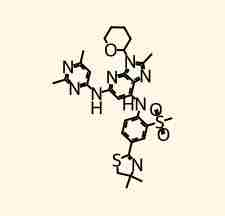 Cc1cc(Nc2cc(Nc3ccc(C4=NC(C)(C)CS4)cc3S(C)(=O)=O)c3nc(C)n(C4CCCCO4)c3n2)nc(C)n1